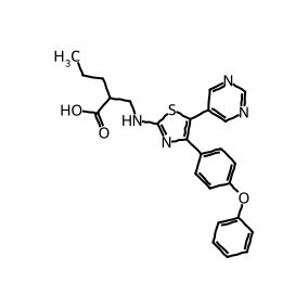 CCCC(CNc1nc(-c2ccc(Oc3ccccc3)cc2)c(-c2cncnc2)s1)C(=O)O